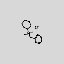 C[N+](C)(Cc1ccccc1)C1CCCCC1.[Cl-]